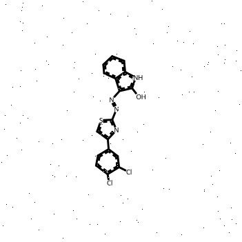 Oc1[nH]c2ccccc2c1/N=N/c1nc(-c2ccc(Cl)c(Cl)c2)cs1